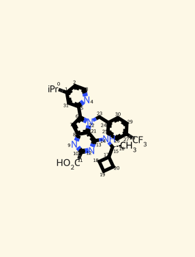 CC(C)c1ccnc(-c2cc3nc(C(=O)O)nc(N[C@H](C)C4CCC4)c3n2Cc2ccc(C(F)(F)F)cc2)c1